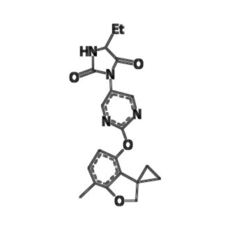 CCC1NC(=O)N(c2cnc(Oc3ccc(C)c4c3C3(CC3)CO4)nc2)C1=O